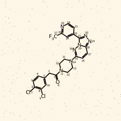 O=C(Cc1ccc(Cl)c(Cl)c1)N1CCN(c2ccc3nnc(-c4ccnc(C(F)(F)F)c4)n3n2)CC1